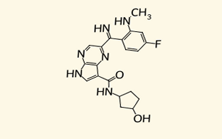 CNc1cc(F)ccc1C(=N)c1cnc2[nH]cc(C(=O)NC3CCC(O)C3)c2n1